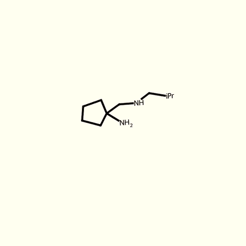 CC(C)CNCC1(N)CCCC1